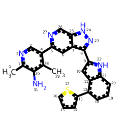 Cc1ncc(-c2cc3c(-c4cc5c(-c6cccs6)cccc5[nH]4)n[nH]c3cn2)c(C)c1N